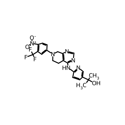 CC(C)(O)c1ccc(Nc2ncnc3c2CCN(c2ccc([N+](=O)[O-])c(C(F)(F)F)c2)C3)nc1